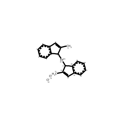 CC1=Cc2ccccc2[CH]1[Hf+2][CH]1C(C)=Cc2ccccc21.[Cl-].[Cl-]